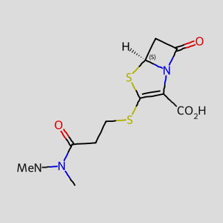 CNN(C)C(=O)CCSC1=C(C(=O)O)N2C(=O)C[C@@H]2S1